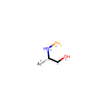 CC(=O)[C@@H](CO)NP